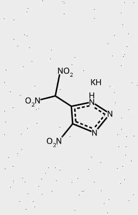 O=[N+]([O-])c1nn[nH]c1C([N+](=O)[O-])[N+](=O)[O-].[KH]